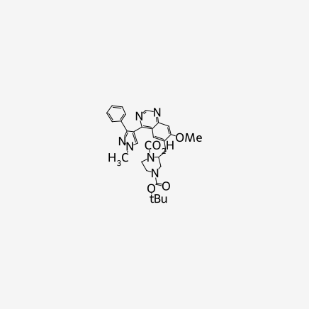 COc1cc2ncnc(-c3cn(C)nc3-c3ccccc3)c2cc1CC1CN(C(=O)OC(C)(C)C)CCN1C(=O)O